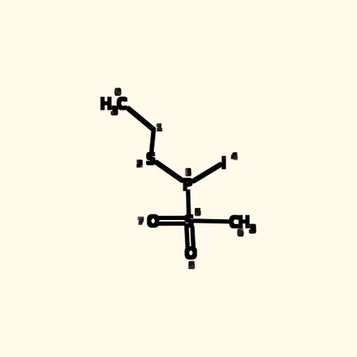 CCSP(I)S(C)(=O)=O